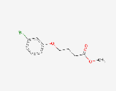 COC(=O)CCCOc1cccc(Br)c1